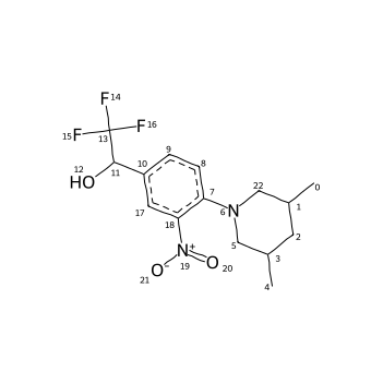 CC1CC(C)CN(c2ccc(C(O)C(F)(F)F)cc2[N+](=O)[O-])C1